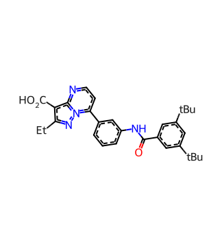 CCc1nn2c(-c3cccc(NC(=O)c4cc(C(C)(C)C)cc(C(C)(C)C)c4)c3)ccnc2c1C(=O)O